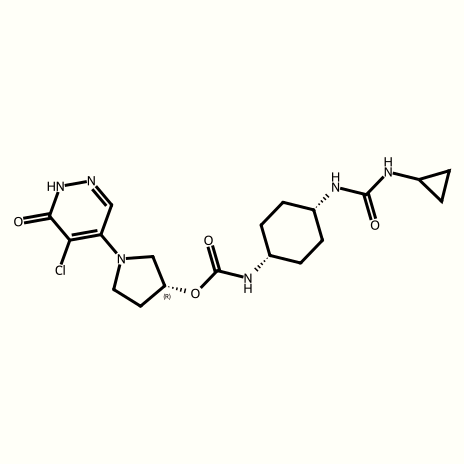 O=C(NC1CC1)N[C@H]1CC[C@@H](NC(=O)O[C@@H]2CCN(c3cn[nH]c(=O)c3Cl)C2)CC1